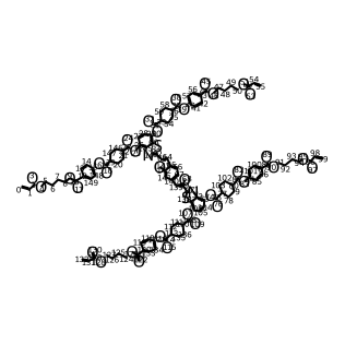 C=CC(=O)OCCCCOC(=O)c1ccc(OC(=O)C2CCC(C(=O)Oc3ccc(OC(=O)C4CCC(C(=O)Oc5ccc(C(=O)OCCCCOC(=O)C=C)cc5)CC4)c4sc(-c5cc6cc7oc(-c8nc9c(OC(=O)C%10CCC(C(=O)Oc%11ccc(C(=O)OCCCCOC(=O)C=C)cc%11)CC%10)ccc(OC(=O)C%10CCC(C(=O)Oc%11ccc(C(=O)OCCCCOC(=O)C=C)cc%11)CC%10)c9s8)cc7cc6o5)nc34)CC2)cc1